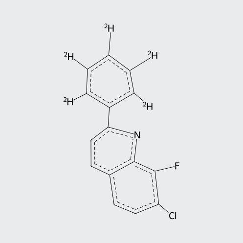 [2H]c1c([2H])c([2H])c(-c2ccc3ccc(Cl)c(F)c3n2)c([2H])c1[2H]